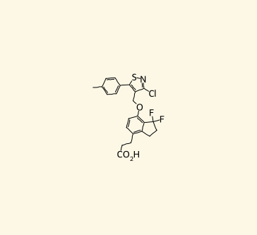 Cc1ccc(-c2snc(Cl)c2COc2ccc(CCC(=O)O)c3c2C(F)(F)CC3)cc1